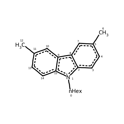 CCCCCCn1c2ccc(C)cc2c2cc(C)ccc21